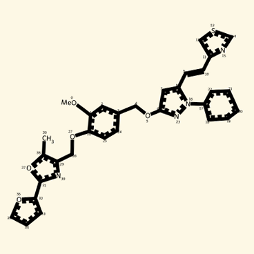 COc1cc(COc2cc(C=Cc3cscn3)n(-c3ccccc3)n2)ccc1OCc1nc(-c2ccco2)oc1C